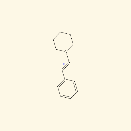 C(=N\N1CCCCC1)/c1ccccc1